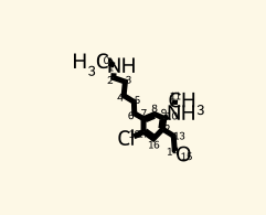 CNCCCCCc1cc(NC)c(CC=O)cc1Cl